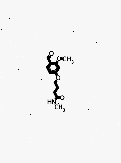 CNC(=O)CCCOc1ccc(C=O)c(OC)c1